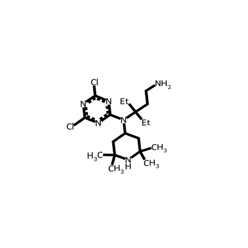 CCC(CC)(CCN)N(c1nc(Cl)nc(Cl)n1)C1CC(C)(C)NC(C)(C)C1